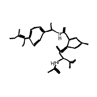 C=C(C)NC(/C(C)=C1\CC(C)CC1C(=C)NC(C)c1ccc(C(C)=C(C)C)cc1)C(C)C